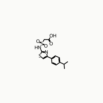 CC(C)c1ccc(-c2csc(NS(=O)(=O)CC(=O)O)n2)cc1